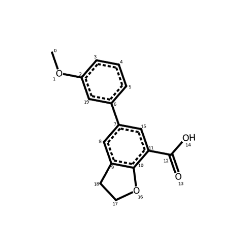 COc1cccc(-c2cc3c(c(C(=O)O)c2)OCC3)c1